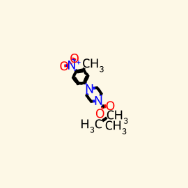 Cc1cc(N2CCN(C(=O)OC(C)(C)C)CC2)ccc1[N+](=O)[O-]